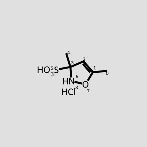 CC1=CC(C)(S(=O)(=O)O)NO1.Cl